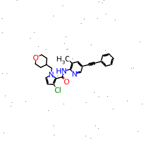 Cc1cc(C#Cc2ccccc2)cnc1NC(=O)c1c(Cl)ccn1CC1CCOCC1